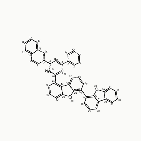 c1ccc(C2=NC(c3ccc4ccccc4c3)NC(c3cccc4oc5c(-c6cccc7c6oc6ccccc67)cccc5c34)=N2)cc1